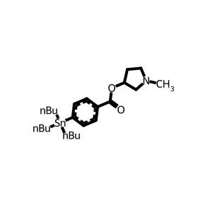 CCC[CH2][Sn]([CH2]CCC)([CH2]CCC)[c]1ccc(C(=O)OC2CCN(C)C2)cc1